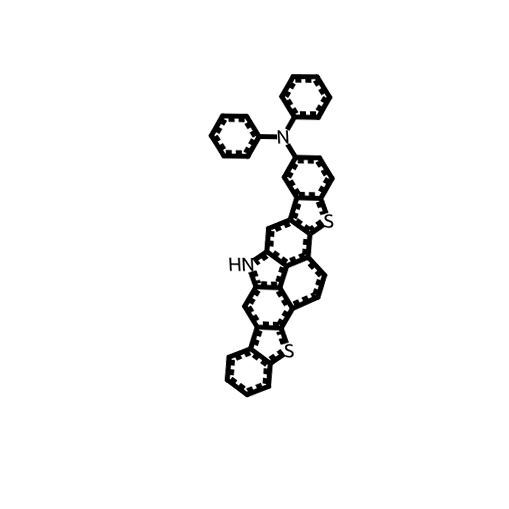 c1ccc(N(c2ccccc2)c2ccc3sc4c(cc5[nH]c6cc7c8ccccc8sc7c7ccc4c5c67)c3c2)cc1